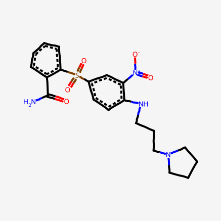 NC(=O)c1ccccc1S(=O)(=O)c1ccc(NCCCN2CCCC2)c([N+](=O)[O-])c1